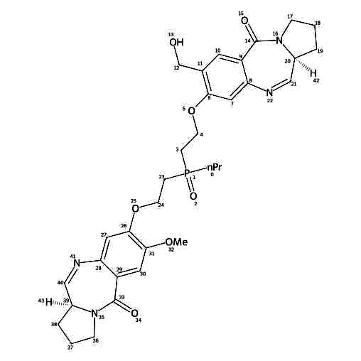 CCCP(=O)(CCOc1cc2c(cc1CO)C(=O)N1CCC[C@H]1C=N2)CCOc1cc2c(cc1OC)C(=O)N1CCC[C@H]1C=N2